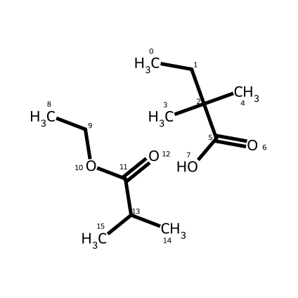 CCC(C)(C)C(=O)O.CCOC(=O)C(C)C